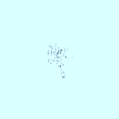 COc1cc2c(cc1OC)C(C)(CCCC(CCCC(=O)CCc1ccc(F)cc1)(c1ccccc1)c1ccccc1)NC(C)C2.Cl